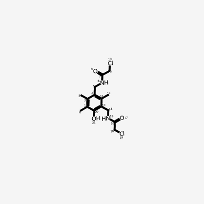 Cc1c(C)c(CNC(=O)CCl)c(C)c(CNC(=O)CCl)c1O